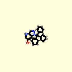 Oc1cnc2cnn(C(c3ccccc3)(c3ccccc3)c3ccccc3)c2c1